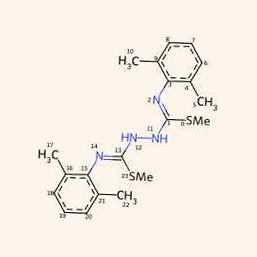 CS/C(=N\c1c(C)cccc1C)NN/C(=N/c1c(C)cccc1C)SC